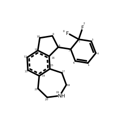 FC1(F)C=CC=CC1C1CCc2ccc3c(c21)CCNCC3